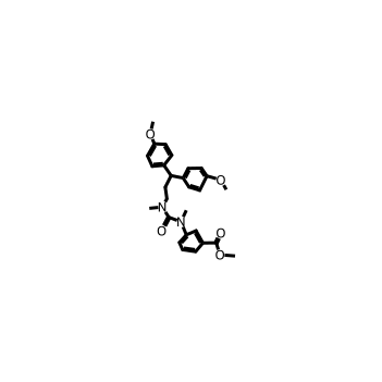 COC(=O)c1cccc(N(C)C(=O)N(C)CCC(c2ccc(OC)cc2)c2ccc(OC)cc2)c1